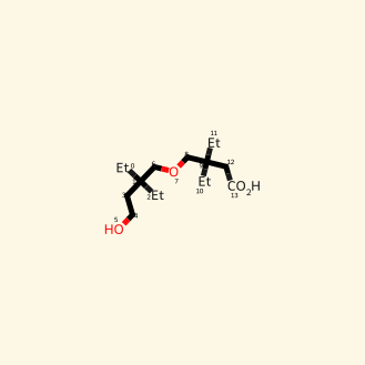 CCC(CC)(CCO)COCC(CC)(CC)CC(=O)O